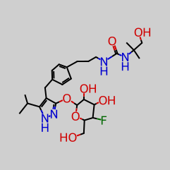 CC(C)c1[nH]nc(OC2OC(CO)C(F)C(O)C2O)c1Cc1ccc(CCCNC(=O)NC(C)(C)CO)cc1